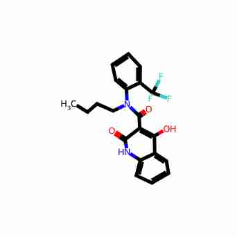 CCCCN(C(=O)c1c(O)c2ccccc2[nH]c1=O)c1ccccc1C(F)(F)F